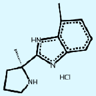 Cc1cccc2nc([C@]3(C)CCCN3)[nH]c12.Cl